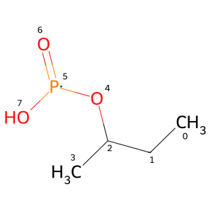 CCC(C)O[P](=O)O